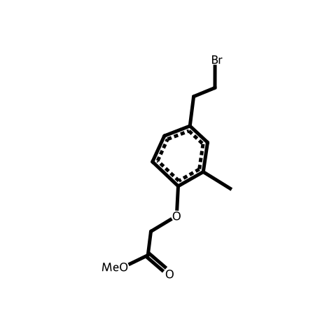 COC(=O)COc1ccc(CCBr)cc1C